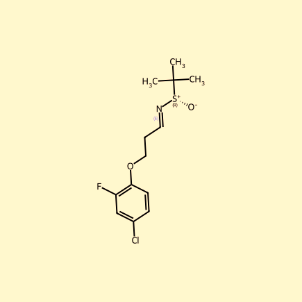 CC(C)(C)[S@+]([O-])/N=C/CCOc1ccc(Cl)cc1F